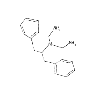 NCN(CN)C(Cc1ccccc1)Cc1ccccc1